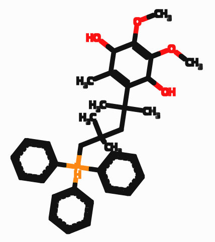 COC1=C(OC)C(O)C(C(C)(C)CC(C)(C)C[PH](c2ccccc2)(c2ccccc2)c2ccccc2)=C(C)C1O